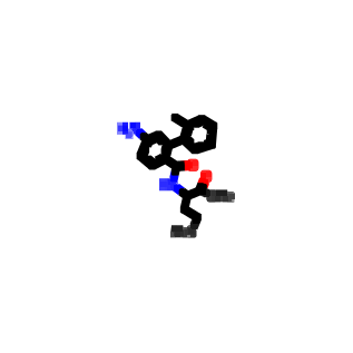 COC(=O)C(CCSC)NC(=O)c1ccc(N)cc1-c1ccccc1C